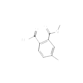 CNC(=O)c1cc(I)ccc1C(=O)O